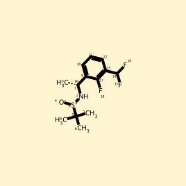 C[C@@H](N[S+]([O-])C(C)(C)C)c1cccc(C(F)F)c1F